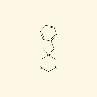 C[N+]1(Cc2ccccc2)CSCSC1